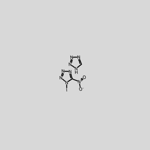 O=[N+]([O-])c1nnnn1I.c1nnn[nH]1